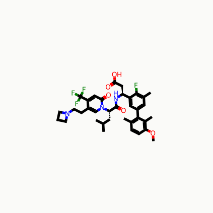 COc1ccc(C)c(-c2cc(C)c(F)c([C@H](CC(=O)O)NC(=O)[C@H](CC(C)C)n3cc(CCN4CCC4)c(C(F)(F)F)cc3=O)c2)c1C